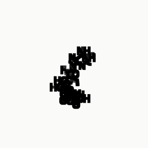 C=C[C@]1(COP(=O)(O)OP(=O)(O)OP(=O)(O)O)O[C@@H](n2cnc3c2N=C(C)NC3N)[C@H](F)[C@@H]1O